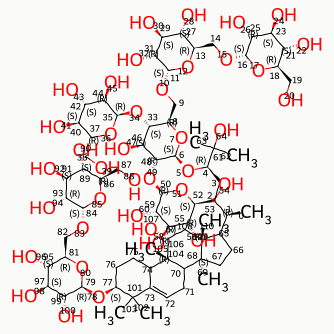 C[C@H](CC[C@@H](O[C@@H]1O[C@H](CO[C@H]2O[C@H](CO[C@H]3O[C@H](CO)[C@@H](O)[C@H](O)[C@H]3O)[C@@H](O)[C@H](O)[C@H]2O)[C@@H](O[C@H]2O[C@H](CO)[C@@H](O)[C@H](O)[C@H]2O)[C@H](O)[C@H]1O[C@H]1O[C@@H](CO)[C@H](O)[C@@H](O)[C@@H]1O)C(C)(C)O)C1CC[C@@]2(C)C3CC=C4C(CC[C@H](O[C@@H]5O[C@H](CO[C@H]6O[C@H](CO)[C@@H](O)[C@H](O)[C@H]6O)[C@@H](O)[C@H](O)[C@H]5O)C4(C)C)[C@]3(C)[C@H](O)C[C@]12C